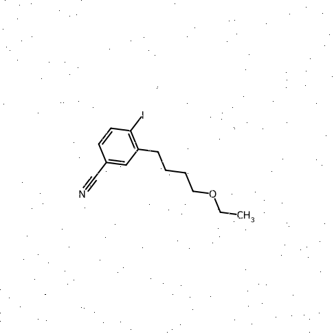 CCOCCCCc1cc(C#N)ccc1I